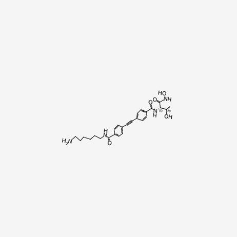 C[C@@H](O)[C@H](NC(=O)c1ccc(C#Cc2ccc(C(=O)NCCCCCCN)cc2)cc1)C(=O)NO